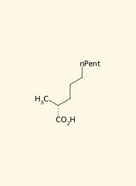 CCCCCCCC[C@@H](C)C(=O)O